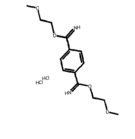 COCCOC(=N)c1ccc(C(=N)OCCOC)cc1.Cl.Cl